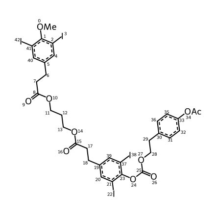 COc1c(I)cc(CCC(=O)OCCCOC(=O)CCc2cc(I)c(OC(=O)OCCc3ccc(OC(C)=O)cc3)c(I)c2)cc1I